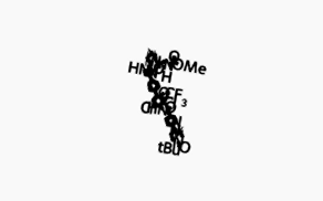 COC(=O)NCC(=O)N1C[C@@H](C)C[C@H]1c1nc(-c2ccc(-c3cc(Cl)c(NC(=O)c4ccc(N5CCN(C(=O)C(C)(C)C)C[C@H]5C)nc4)c(Cl)c3OC(F)(F)F)cc2)c[nH]1